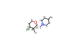 CC1CCN(C[C@H]2OCCC(F)[C@@H]2C)CC1